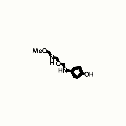 COCNCOCNc1ccc(O)cc1